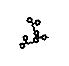 Cc1ccc(-n2c3ccc(C=CC=C(c4ccccc4)c4ccccc4)cc3c3cc(C=CC=C(c4ccccc4)c4ccccc4)ccc32)cc1